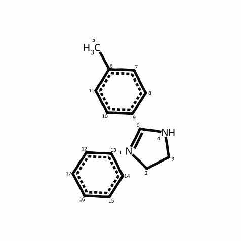 C1=NCCN1.Cc1ccccc1.c1ccccc1